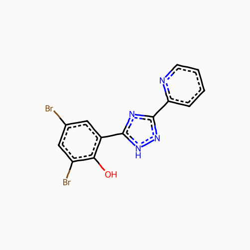 Oc1c(Br)cc(Br)cc1-c1nc(-c2ccccn2)n[nH]1